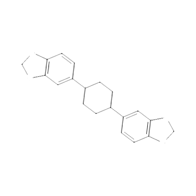 c1cc2c(cc1C1CCC(c3ccc4c(c3)OCO4)CC1)OCO2